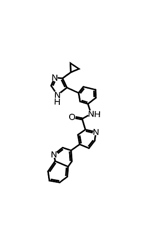 O=C(Nc1cccc(-c2[nH]cnc2C2CC2)c1)c1cc(-c2cnc3ccccc3c2)ccn1